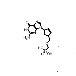 Nc1nc2c(ncn2C2C=CC(COCP(=O)(O)O)C2)c(=O)[nH]1